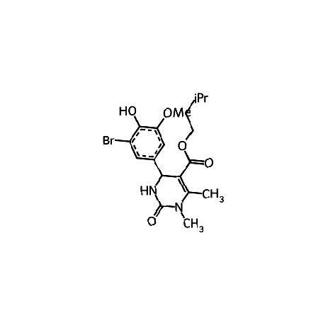 COc1cc(C2NC(=O)N(C)C(C)=C2C(=O)OCCC(C)C)cc(Br)c1O